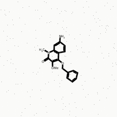 COc1c(OCc2ccccc2)c2ccc(N)cc2n(C)c1=O